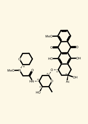 COc1cccc2c1C(=O)c1c(O)c3c(c(O)c1C2=O)C[C@@](O)(C(C)=O)C[C@@H]3O[C@H]1C[C@@H](NC(=O)CN(OC)[C@H]2CCCCO2)[C@H](O)C(C)O1